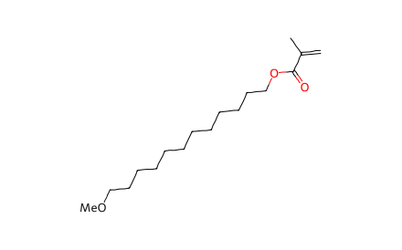 C=C(C)C(=O)OCCCCCCCCCCCCOC